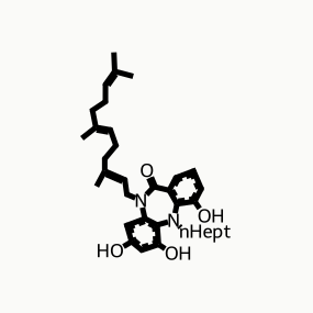 CCCCCCCN1c2c(O)cccc2C(=O)N(C/C=C(\C)CC/C=C(\C)CCC=C(C)C)c2cc(O)cc(O)c21